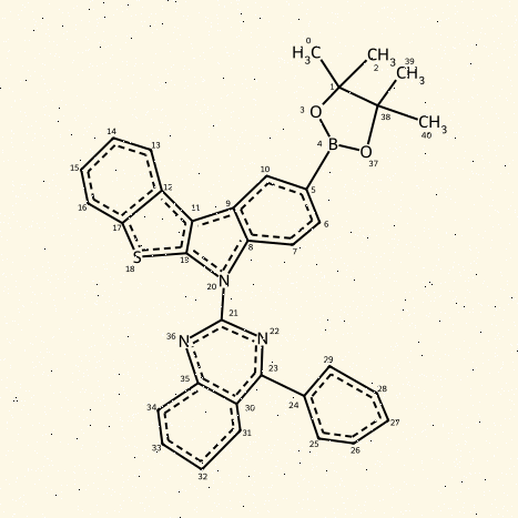 CC1(C)OB(c2ccc3c(c2)c2c4ccccc4sc2n3-c2nc(-c3ccccc3)c3ccccc3n2)OC1(C)C